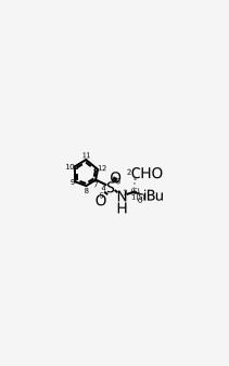 CC[C@H](C)[C@@H](C=O)NS(=O)(=O)c1ccccc1